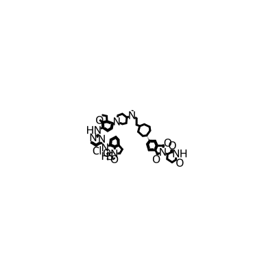 CN(CCC1CCC[C@H](c2ccc3c(c2)C(=O)N(C2CCC(=O)NC2=O)C3=O)CC1)C1CCN(c2ccc(Nc3ncc(Cl)c(Nc4cccc5c4N(S(C)(=O)=O)CC5)n3)c3c2CCO3)CC1